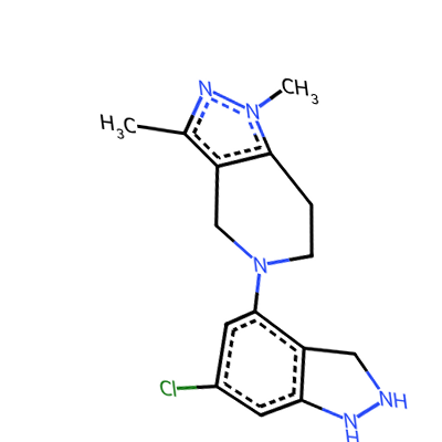 Cc1nn(C)c2c1CN(c1cc(Cl)cc3c1CNN3)CC2